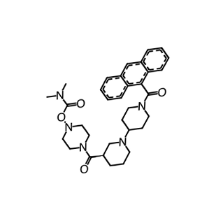 CN(C)C(=O)ON1CCN(C(=O)[C@@H]2CCCN(C3CCN(C(=O)c4c5ccccc5cc5ccccc45)CC3)C2)CC1